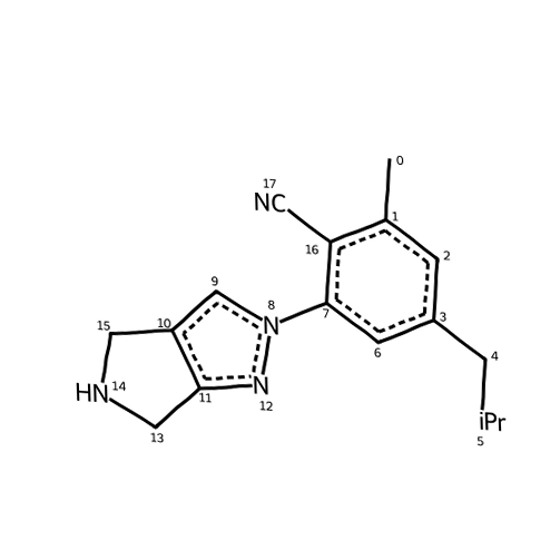 Cc1cc(CC(C)C)cc(-n2cc3c(n2)CNC3)c1C#N